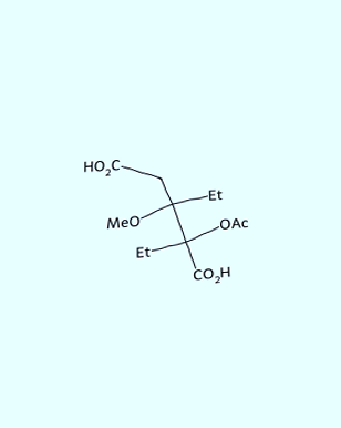 CCC(CC(=O)O)(OC)C(CC)(OC(C)=O)C(=O)O